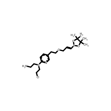 CC1(C)OB(/C=C/COCCc2ccc(N(CCN)CCCl)nc2)OC1(C)C